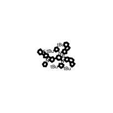 CC(C)(C)c1cc(N2c3cc4c(ccc5ccccc54)cc3B3c4cc5ccc6ccccc6c5cc4N(c4cc(C(C)(C)C)cc(C(C)(C)C)c4)c4cc(-c5ccc6c(c5)c5cc7sc8ccccc8c7cc5n6-c5ccccc5)cc2c43)cc(C(C)(C)C)c1